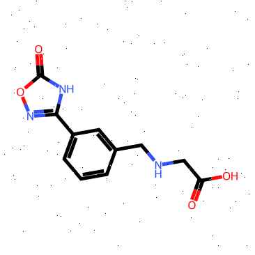 O=C(O)CNCc1cccc(-c2noc(=O)[nH]2)c1